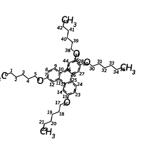 CCCCCCOc1ccc2c(c1)c1cc(OCCCCCC)ccc1c1cc(OCCCCCC)c(OCCCCCC)cc21